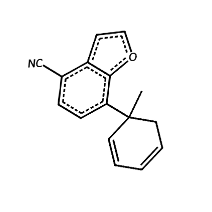 CC1(c2ccc(C#N)c3ccoc23)C=CC=CC1